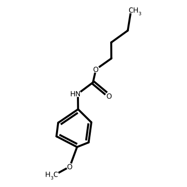 CCCCOC(=O)Nc1ccc(OC)cc1